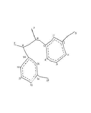 Cc1cccc(C(C)C(C)c2cccc(C)c2)c1